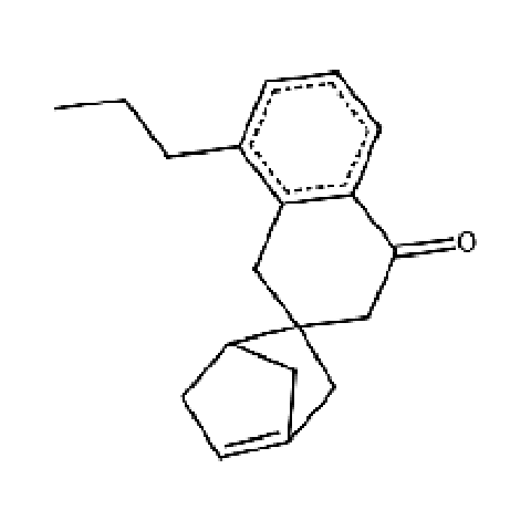 CCCc1cccc2c1CC1(CC2=O)CC2=CCC1C2